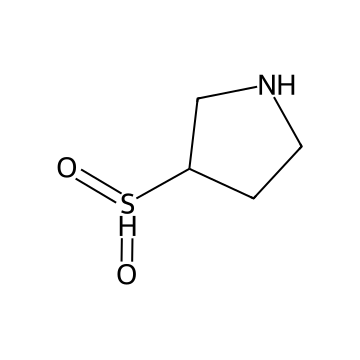 O=[SH](=O)C1CCNC1